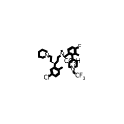 Cc1ccc(Cl)cc1[C@@H](CCN1CCCCC1)CCN(C)[C@@H](C(=O)O)c1ccc(F)c(C)c1C1CCN(CC(F)(F)F)CC1